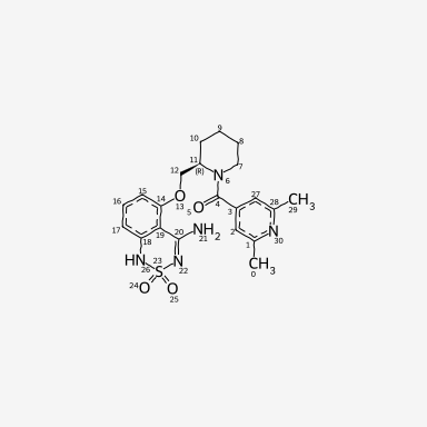 Cc1cc(C(=O)N2CCCC[C@@H]2COc2cccc3c2C(N)=NS(=O)(=O)N3)cc(C)n1